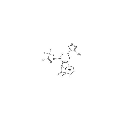 Cn1nnnc1SCC1=C(C(=O)O)N2C(=O)[C@H]3NCCC1[C@H]32.O=C(O)C(F)(F)F